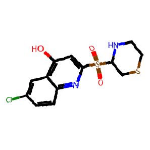 O=S(=O)(c1cc(O)c2cc(Cl)ccc2n1)C1CSCCN1